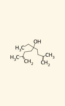 C=C(C)CCC(O)(CC)CCC(=C)C